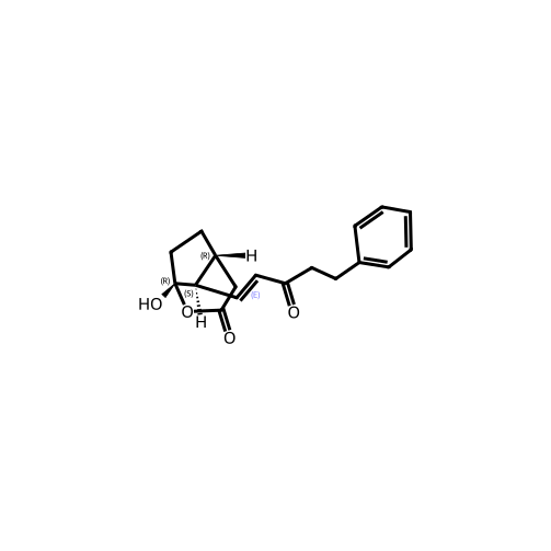 O=C(/C=C/[C@@H]1[C@@H]2CC[C@@]1(O)OC(=O)C2)CCc1ccccc1